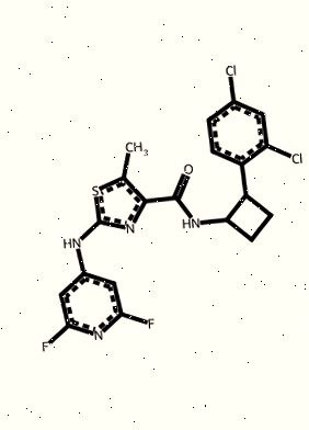 Cc1sc(Nc2cc(F)nc(F)c2)nc1C(=O)NC1CCC1c1ccc(Cl)cc1Cl